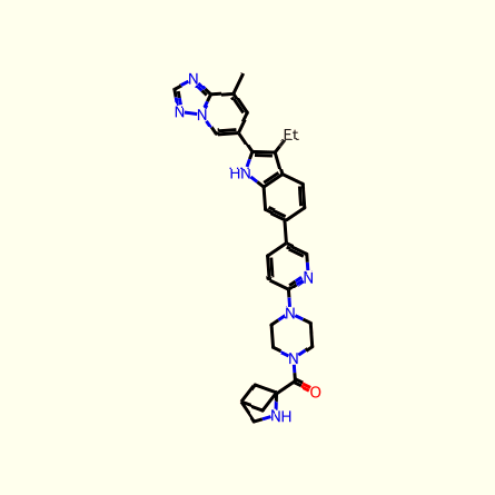 CCc1c(-c2cc(C)c3ncnn3c2)[nH]c2cc(-c3ccc(N4CCN(C(=O)C56CC(CN5)C6)CC4)nc3)ccc12